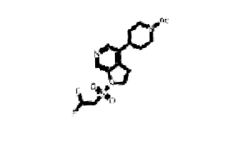 CC(=O)N1CCC(c2cncc3c2CCN3S(=O)(=O)CC(F)F)CC1